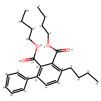 CCCCOC(=O)c1c(CCCC)ccc(-c2ccccc2)c1C(=O)OCCCC